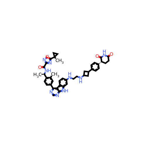 Cc1cc(-c2ncnc3[nH]c4cc(NCCNC5CC(c6ccc([C@H]7CCC(=O)NC7=O)cc6)C5)ccc4c23)ccc1[C@@H](C)NC(=O)c1noc(C2(C)CC2)n1